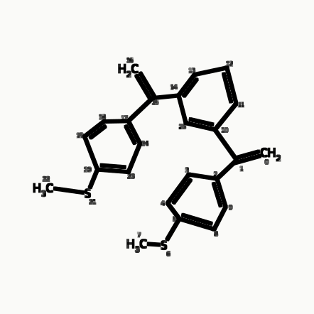 C=C(c1ccc(SC)cc1)c1cccc(C(=C)c2ccc(SC)cc2)c1